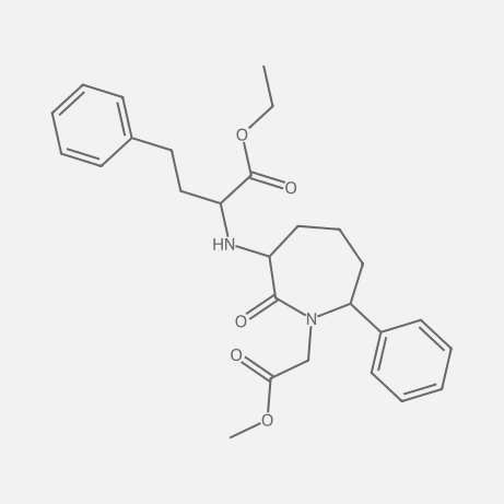 CCOC(=O)C(CCc1ccccc1)NC1CCCC(c2ccccc2)N(CC(=O)OC)C1=O